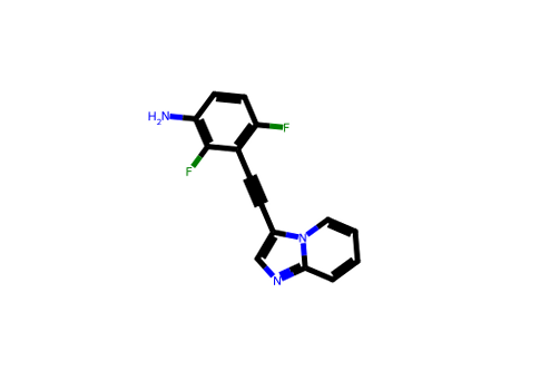 Nc1ccc(F)c(C#Cc2cnc3ccccn23)c1F